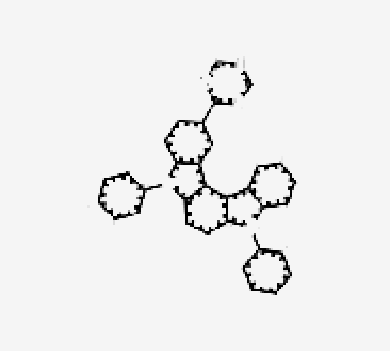 c1ccc(-n2c3ccccc3c3c4c5cc(-c6ncncn6)ccc5n(-c5ccccc5)c4ccc32)cc1